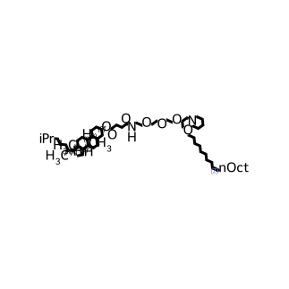 CCCCCCCC/C=C\CCCCCCCCOCC(CN1CCCCC1)OCCOCCOCCNC(=O)CCC(=O)O[C@H]1CC[C@@]2(C)C(=CC[C@H]3[C@@H]4CC[C@H]([C@H](C)CCCC(C)C)[C@@]4(C)CC[C@@H]32)C1